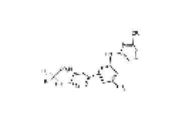 CCC(C)(Nc1ccc(-c2cc(C)cc(Nc3nccc(C(F)(F)F)n3)c2)cn1)C(=O)O